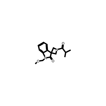 COCN1C(=O)C2(CN(C(=O)C(C)C)C2)c2ccccc21